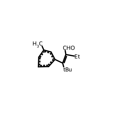 CCC(C=O)=C(c1cccc(C)c1)C(C)(C)C